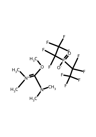 COC(N(C)C)=[N+](C)C.O=P([O-])(C(F)(F)C(F)(F)F)C(F)(F)C(F)(F)F